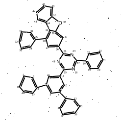 c1ccc(-c2cc(-c3ccccc3)cc(-c3nc(-c4ccccc4)nc(-c4cc(-c5ccccc5)c5c(c4)oc4ccccc45)n3)c2)cc1